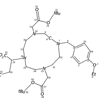 CCOc1ccc(CN2CCN(CC(=O)OC(C)(C)C)CCN(C(CC(=O)O)C(=O)O)CCN(CC(=O)OC(C)(C)C)CC2)cc1